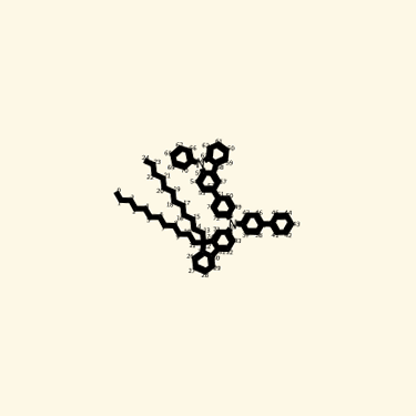 CCCCCCCCCCCCC1(CCCCCCCCCCCC)c2ccccc2-c2ccc(N(c3ccc(-c4ccccc4)cc3)c3ccc(-c4ccc5c(c4)c4ccccc4n5-c4ccccc4)cc3)cc21